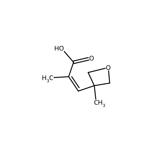 CC(=CC1(C)COC1)C(=O)O